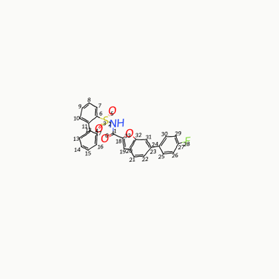 O=C(NS(=O)(=O)c1ccccc1-c1ccccc1)c1cc2ccc(-c3ccc(F)cc3)cc2o1